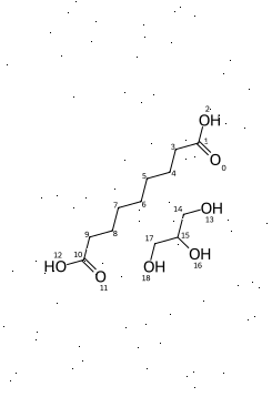 O=C(O)CCCCCCCC(=O)O.OCC(O)CO